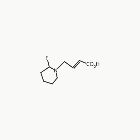 O=C(O)/C=C/CN1CCCCC1F